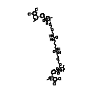 CC(C)[C@H](COCCOCCNC(=O)NCCCCNC(=O)NCCOCCOC[C@H](NS(=O)(=O)c1cccc([C@@H]2CN(C)Cc3c(Cl)cc(Cl)cc32)c1)C(C)C)NS(=O)(=O)c1cccc([C@@H]2CN(C)Cc3c(Cl)cc(Cl)cc32)c1